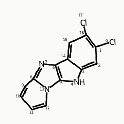 Clc1cc2[nH]c3c(nc4ccccn43)c2cc1Cl